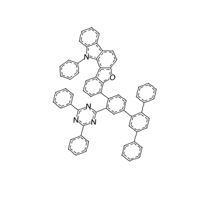 c1ccc(-c2ccc(-c3ccccc3)c(-c3ccc(-c4cccc5c4oc4ccc6c7ccccc7n(-c7ccccc7)c6c45)c(-c4nc(-c5ccccc5)nc(-c5ccccc5)n4)c3)c2)cc1